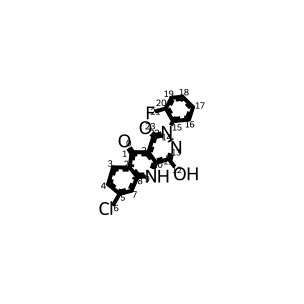 O=c1c2ccc(Cl)cc2[nH]c2c(O)nn(-c3ccccc3F)c(=O)c12